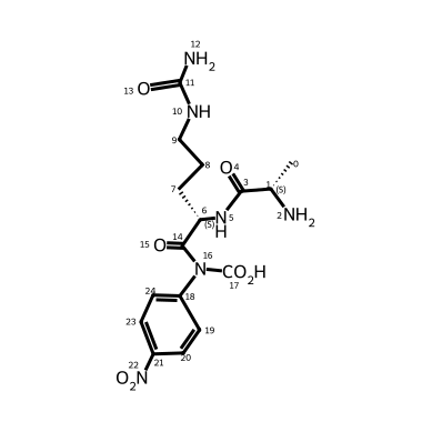 C[C@H](N)C(=O)N[C@@H](CCCNC(N)=O)C(=O)N(C(=O)O)c1ccc([N+](=O)[O-])cc1